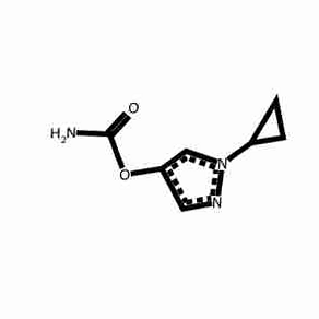 NC(=O)Oc1cnn(C2CC2)c1